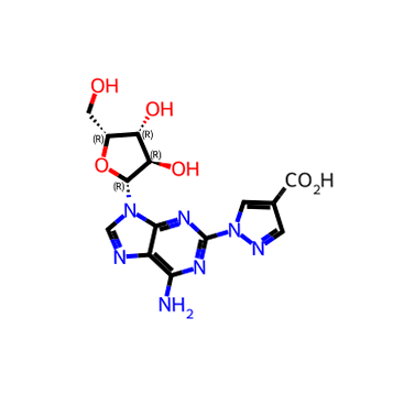 Nc1nc(-n2cc(C(=O)O)cn2)nc2c1ncn2[C@@H]1O[C@H](CO)[C@H](O)[C@H]1O